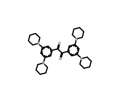 O=C(C(=O)c1cc(N2CCCCC2)cc(N2CCCCC2)c1)c1cc(N2CCCCC2)cc(N2CCCCC2)c1